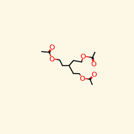 CC(=O)OCCC(CCOC(C)=O)CCOC(C)=O